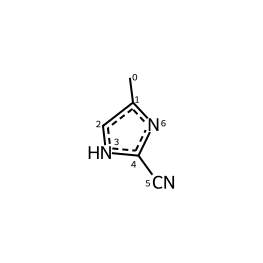 Cc1c[nH]c(C#N)n1